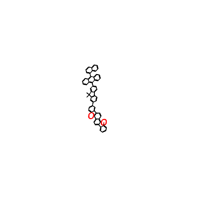 CC1(C)c2cc(-c3ccc4oc5c(ccc6c5ccc5c7ccccc7oc56)c4c3)ccc2-c2ccc(-c3c4ccccc4c(-c4cccc5ccccc45)c4ccccc34)cc21